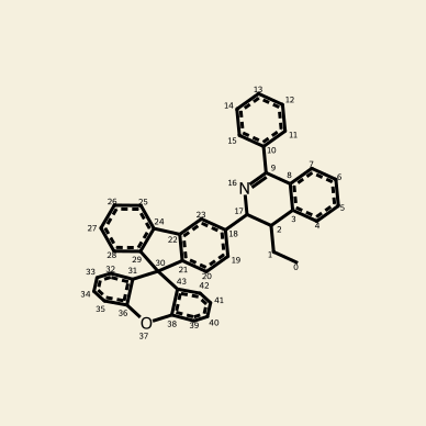 CCC1c2ccccc2C(c2ccccc2)=NC1c1ccc2c(c1)-c1ccccc1C21c2ccccc2Oc2ccccc21